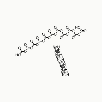 O=S(O)OS(=O)OS(=O)OS(=O)OS(=O)OS(=O)OS(=O)OS(=O)OS(=O)OS(=O)OS(=O)O.[NaH].[NaH].[NaH].[NaH].[NaH].[NaH].[NaH].[NaH].[NaH].[NaH].[NaH].[NaH]